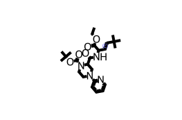 CCOC(=O)C(/C=C/C(C)(C)C)NC(=O)C1CN(c2ccccn2)CCN1C(=O)OC(C)(C)C